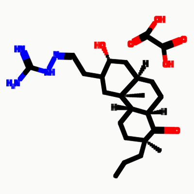 CCC[C@@]1(C)CC[C@H]2[C@@H](CC[C@@H]3C[C@@H](O)C(C/C=N\NC(=N)N)C[C@@]32C)C1=O.O=C(O)C(=O)O